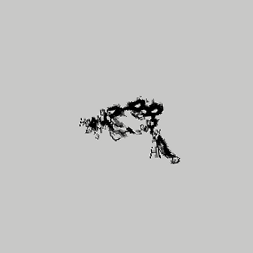 COc1nc(-c2cccc(-c3cccc(-c4ccn5c(=O)c(CN[C@H]6C[C@](C)(O)C6)c(C)nc5c4)c3Cl)c2Cl)ccc1CNC[C@@H]1CCC(=O)N1